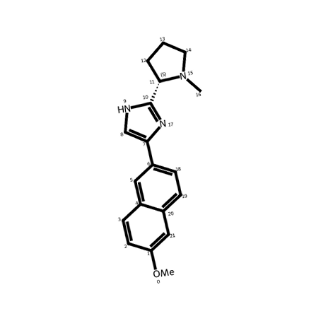 COc1ccc2cc(-c3c[nH]c([C@@H]4CCCN4C)n3)ccc2c1